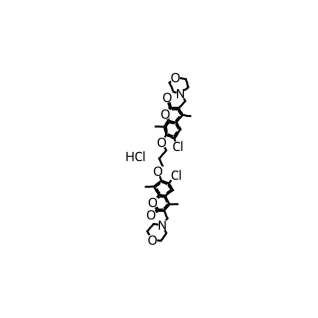 Cc1c(CN2CCOCC2)c(=O)oc2c(C)c(OCCCOc3c(Cl)cc4c(C)c(CN5CCOCC5)c(=O)oc4c3C)c(Cl)cc12.Cl